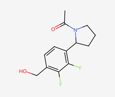 CC(=O)N1CCCC1c1ccc(CO)c(F)c1F